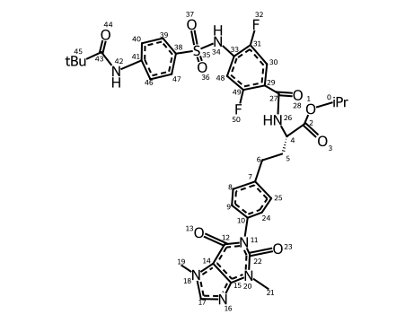 CC(C)OC(=O)[C@H](CCc1ccc(-n2c(=O)c3c(ncn3C)n(C)c2=O)cc1)NC(=O)c1cc(F)c(NS(=O)(=O)c2ccc(NC(=O)C(C)(C)C)cc2)cc1F